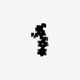 CCc1nnc2c(C(F)(F)F)c(CNC3CCC(c4ccccc4)CC3)ccn12